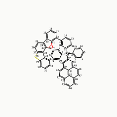 c1ccc([Si](c2ccccc2)(c2cccc(-c3cccc4c3oc3c4ccc4sc5ccccc5c43)c2)c2cc3ccc4cccc5ccc(c2)c3c45)cc1